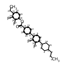 CCCC1CCC(c2ccc(-c3ccc(C(=O)Oc4ccc(CC)c(F)c4F)cc3)c(F)c2F)CC1